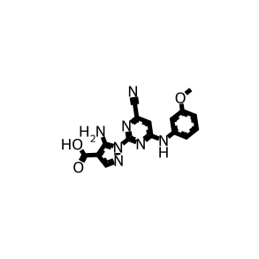 COc1cccc(Nc2cc(C#N)nc(-n3ncc(C(=O)O)c3N)n2)c1